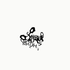 NC(=O)CN1C(=O)C(NC(=O)C2CSCC(=O)N2)C(c2ccccc2)Sc2ccccc21.O